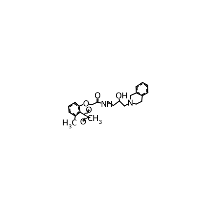 Cc1cccc(OCC(=O)NCCC(O)CN2CCc3ccccc3C2)c1S(C)(=O)=O